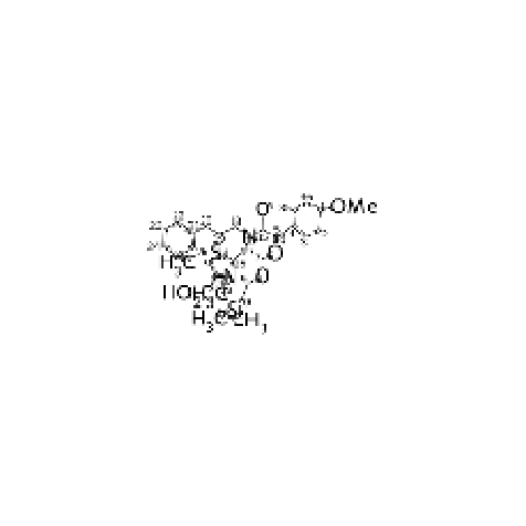 COc1ccc([C@@H](OCOCC[Si](C)(C)C)C(=O)N(CCCc2ccccc2)Cc2nc(C(=O)O)c(C)s2)cc1